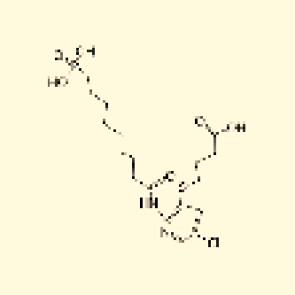 O=C(O)CCCSc1cc(Cl)cnc1NC(=O)CCCCCCCCP(=O)(O)O